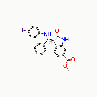 COC(=O)c1ccc2c(c1)NC(=O)/C2=C(\Nc1ccc(I)cc1)c1ccccc1